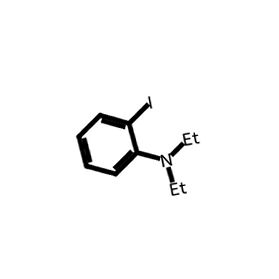 CCN(CC)c1ccccc1I